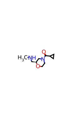 CNC[C@H]1CN(C(=O)C2CC2)CCO1